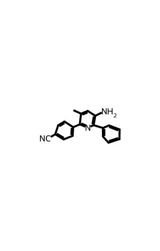 Cc1cc(N)c(-c2ccccc2)nc1-c1ccc(C#N)cc1